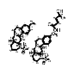 COc1ccc2c(c1)CCN1C[C@H]3CCCN(S(C)(=O)=O)[C@H]3C[C@@H]21.COc1ccc2c(c1)CCN1C[C@H]3CCCN(S(C)(=O)=O)[C@H]3C[C@@H]21.O=C(O)C=CC(=O)O